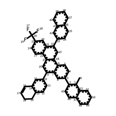 Cc1c(-c2ccc3c(c2)c(-c2ccc4c(c2)C=CCC4)cc2c4ccc(C(F)(F)F)cc4c(-c4ccc5ccccc5c4)cc32)ccc2ccccc12